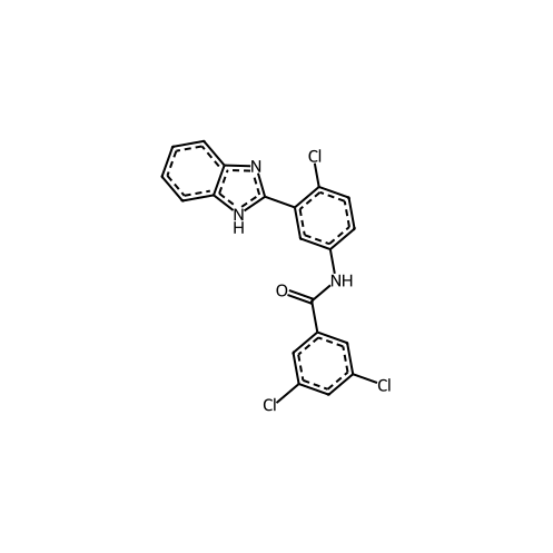 O=C(Nc1ccc(Cl)c(-c2nc3ccccc3[nH]2)c1)c1cc(Cl)cc(Cl)c1